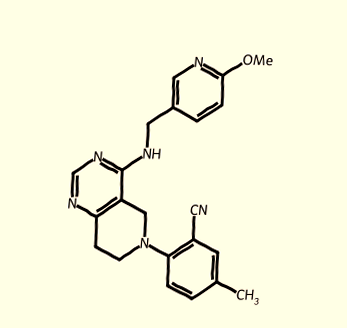 COc1ccc(CNc2ncnc3c2CN(c2ccc(C)cc2C#N)CC3)cn1